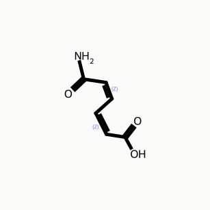 NC(=O)/C=C\C=C/C(=O)O